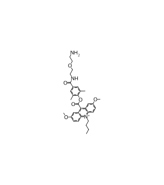 CCCC[n+]1c2ccc(OC)cc2c(C(=O)Oc2c(C)cc(C(=O)NCCOCCN)cc2C)c2cc(OC)ccc21